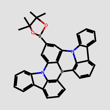 CC1(C)OB(c2cc3c4c(c2)-n2c5ccccc5c5cccc(c52)B4c2cccc4c5ccccc5n-3c24)OC1(C)C